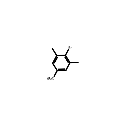 Cc1cc(OCC(C)C)cc(C)c1Br